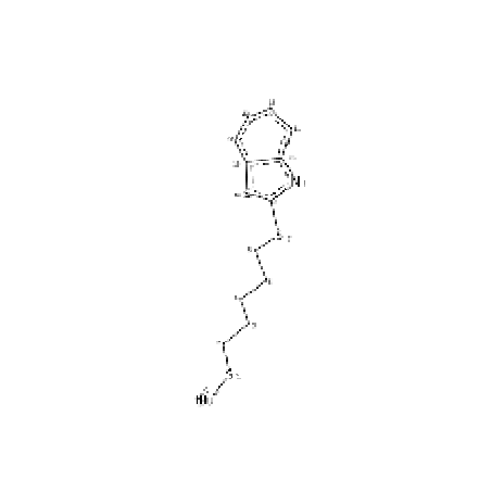 CC(C)(C)SCCCCCSc1nc2ccccc2s1